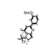 COc1cccc(C2=NC3=CCN(C(C)(C)C(F)(F)F)N3C(C)=C2)c1